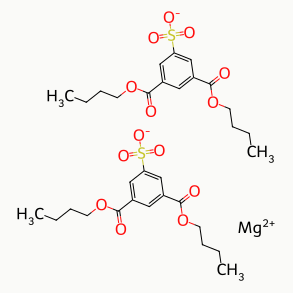 CCCCOC(=O)c1cc(C(=O)OCCCC)cc(S(=O)(=O)[O-])c1.CCCCOC(=O)c1cc(C(=O)OCCCC)cc(S(=O)(=O)[O-])c1.[Mg+2]